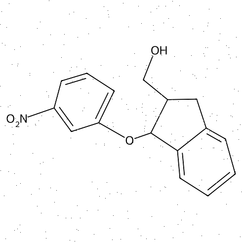 O=[N+]([O-])c1cccc(OC2c3ccccc3CC2CO)c1